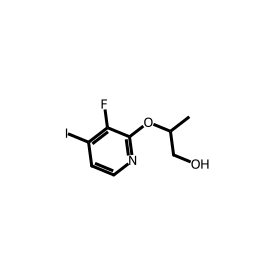 CC(CO)Oc1nccc(I)c1F